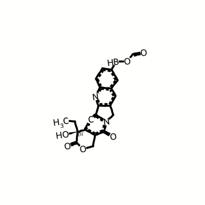 CC[C@@]1(O)C(=O)OCc2c1cc1n(c2=O)Cc2cc3cc(BOC=O)ccc3nc2-1